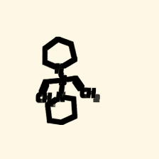 C=CS(C=C)(N1CCCCC1)N1CCCCC1